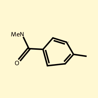 CNC(=O)c1c[c]c(C)cc1